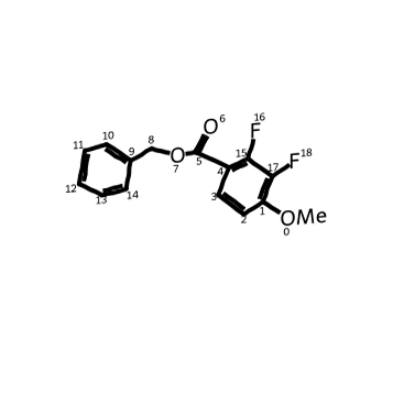 COc1ccc(C(=O)OCc2ccccc2)c(F)c1F